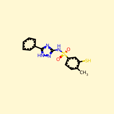 Cc1ccc(S(=O)(=O)Nc2n[nH]c(-c3ccccc3)n2)cc1S